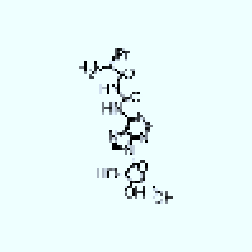 CC(C)C(N)C(=O)NC(=O)Nc1ncnc2c1ncn2[C@@H]1O[C@H](CO)[C@@H](O)[C@H]1O